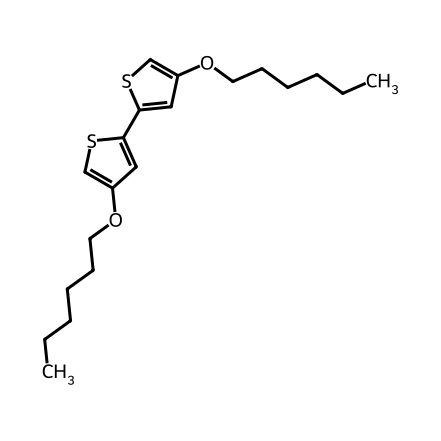 CCCCCCOc1csc(-c2cc(OCCCCCC)cs2)c1